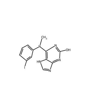 CN(c1cccc(I)c1)c1nc(O)nc2nc[nH]c12